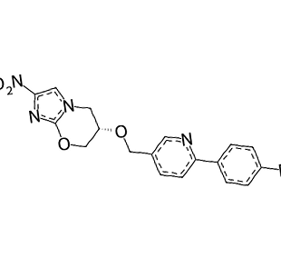 O=[N+]([O-])c1cn2c(n1)OC[C@@H](OCc1ccc(-c3ccc(F)cc3)nc1)C2